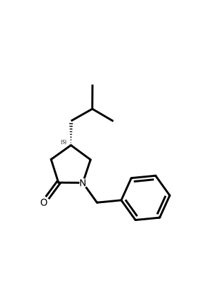 CC(C)C[C@H]1CC(=O)N(Cc2ccccc2)C1